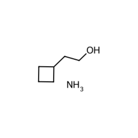 N.OCCC1CCC1